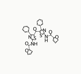 O=C(Nc1nc(-c2ccccc2)c(C(=O)c2sc(NC(=O)c3ccco3)nc2-c2ccccc2)s1)c1ccco1